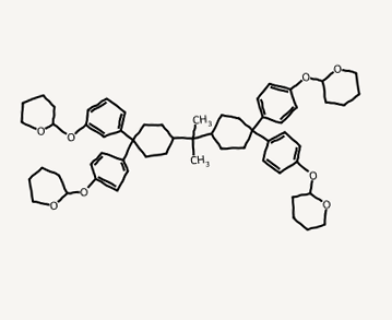 CC(C)(C1CCC(c2ccc(OC3CCCCO3)cc2)(c2ccc(OC3CCCCO3)cc2)CC1)C1CCC(c2ccc(OC3CCCCO3)cc2)(c2cccc(OC3CCCCO3)c2)CC1